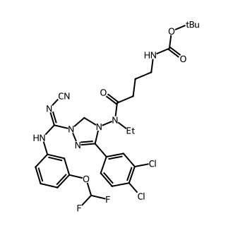 CCN(C(=O)CCCNC(=O)OC(C)(C)C)N1CN(/C(=N\C#N)Nc2cccc(OC(F)F)c2)N=C1c1ccc(Cl)c(Cl)c1